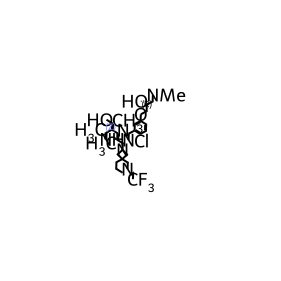 CNC[C@@H](O)COc1ccc(Cl)c(-c2nc(/C(C(C)=N)=C(\C)O)c(C)c(N3CC4(CCCN(CC(F)(F)F)C4)C3)n2)c1